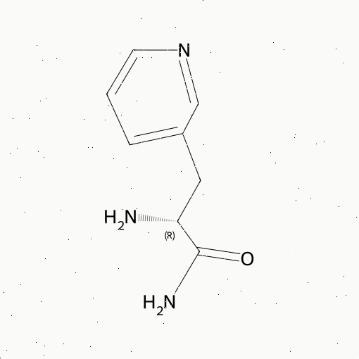 NC(=O)[C@H](N)Cc1cccnc1